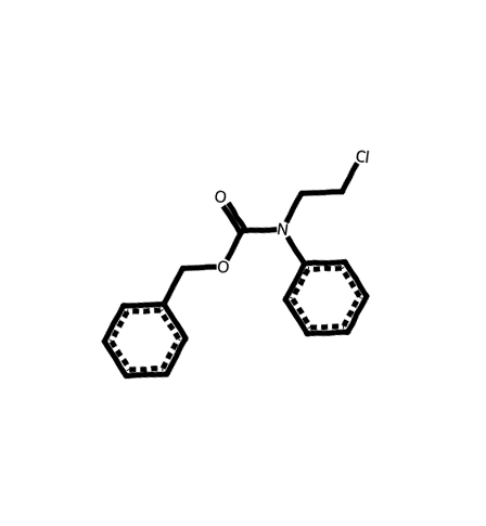 O=C(OCc1ccccc1)N(CCCl)c1ccccc1